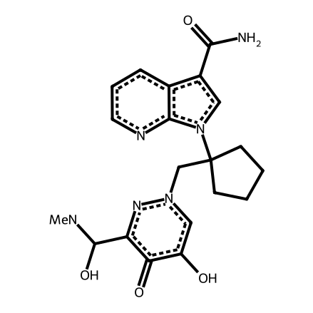 CNC(O)c1nn(CC2(n3cc(C(N)=O)c4cccnc43)CCCC2)cc(O)c1=O